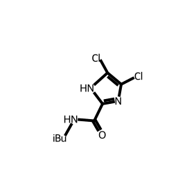 CCC(C)NC(=O)c1nc(Cl)c(Cl)[nH]1